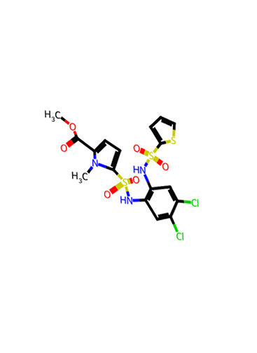 COC(=O)c1ccc(S(=O)(=O)Nc2cc(Cl)c(Cl)cc2NS(=O)(=O)c2cccs2)n1C